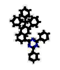 c1ccc(-c2nc(-c3ccccc3)nc(-c3cccc4cc5c(cc34)-c3ccccc3C5(c3ccccc3)c3ccccc3)n2)cc1